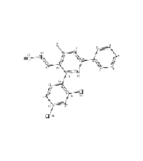 Cc1nc(-c2ccccc2)nc(-c2ccc(Cl)cc2Cl)c1/C=N/O